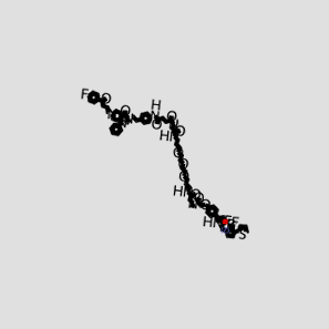 CN(CC(=O)NCCCOCCOCCOCCCNC(=O)CN(C)C(=O)COc1ccc(-c2ccc(/C=C3/C=CC(c4cccs4)=[N+]3B(F)F)[nH]2)cc1)C(=O)CCC(=O)Nc1ccc(CCN2CN(c3ccccc3)C3(CCN(CCCC(=O)c4ccc(F)cc4)CC3)C2=O)cc1